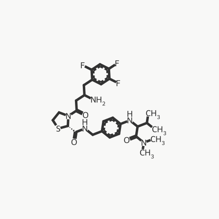 CC(C)C(Nc1ccc(CNC(=O)[C@@H]2SCCN2C(=O)CC(N)Cc2cc(F)c(F)cc2F)cc1)C(=O)N(C)C